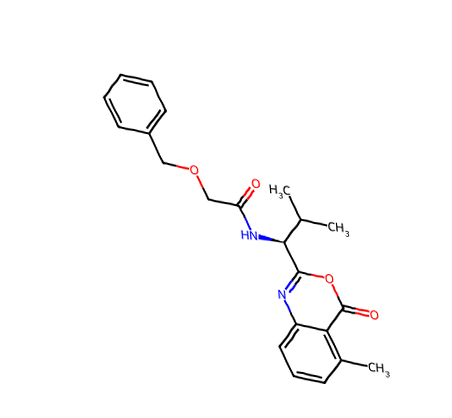 Cc1cccc2nc([C@@H](NC(=O)COCc3ccccc3)C(C)C)oc(=O)c12